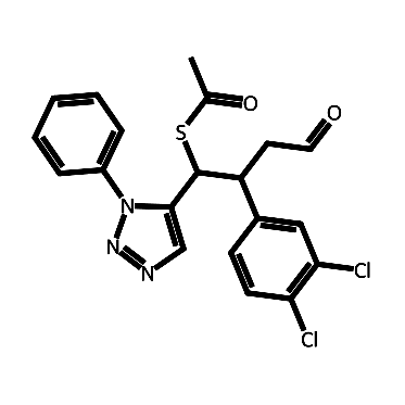 CC(=O)SC(c1cnnn1-c1ccccc1)C(CC=O)c1ccc(Cl)c(Cl)c1